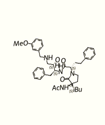 CC[C@H](C)[C@@]1(NC(C)=O)CCN([C@@H](CCc2ccccc2)C(=O)N[C@@H](Cc2ccccc2)[C@@H](O)CNCc2cccc(OC)c2)C1=O